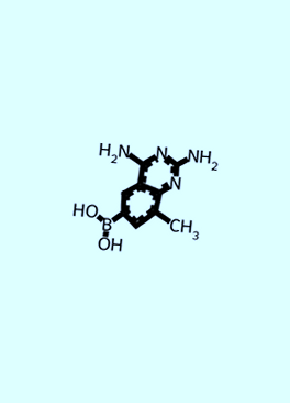 Cc1cc(B(O)O)cc2c(N)nc(N)nc12